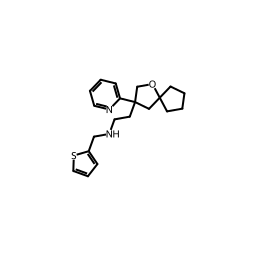 c1ccc(C2(CCNCc3cccs3)COC3(CCCC3)C2)nc1